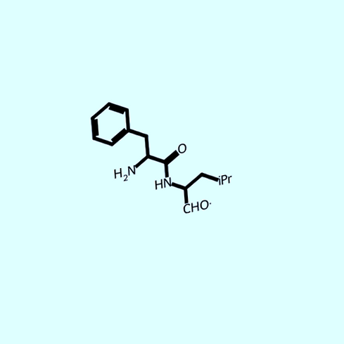 CC(C)CC([C]=O)NC(=O)C(N)Cc1ccccc1